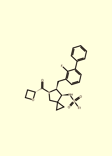 CCS(=O)(=O)N[C@@H]1[C@H](Cc2cccc(-c3ccccc3)c2F)N(C(=O)[C@H]2CCO2)CC12CC2